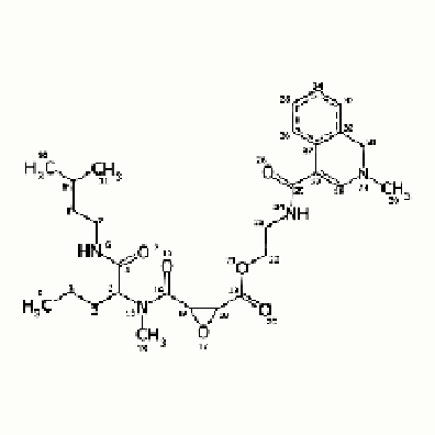 CCCC(C(=O)NCCC(C)C)N(C)C(=O)C1OC1C(=O)OCCNC(=O)C1=CN(C)Cc2ccccc21